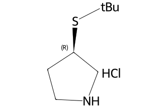 CC(C)(C)S[C@@H]1CCNC1.Cl